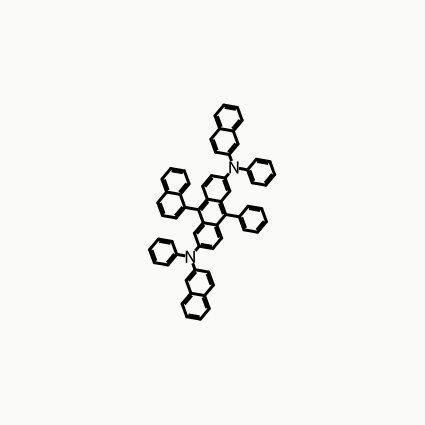 c1ccc(-c2c3cc(N(c4ccccc4)c4ccc5ccccc5c4)ccc3c(-c3cccc4ccccc34)c3cc(N(c4ccccc4)c4ccc5ccccc5c4)ccc23)cc1